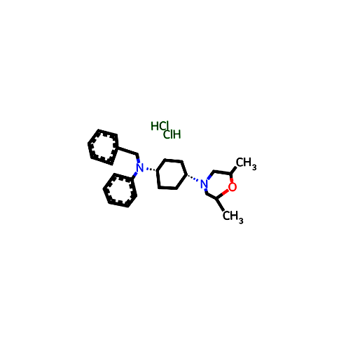 CC1CN([C@H]2CC[C@@H](N(Cc3ccccc3)c3ccccc3)CC2)CC(C)O1.Cl.Cl